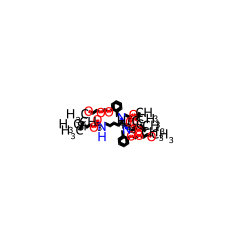 COCCOCOc1ccccc1CN(CC(=O)OC(C)(C)C)C[C@H](CCCCNC(=O)OCC[Si](C)(C)C)N(CC(=O)OC(C)(C)C)Cc1ccccc1OCOCCOC